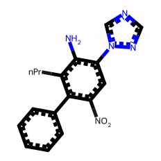 CCCc1c(N)c(-n2cncn2)cc([N+](=O)[O-])c1-c1ccccc1